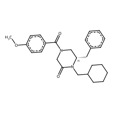 COc1ccc(C(=O)N2CC(=O)N(CC3CCCCC3)[C@@H](Cc3ccccc3)C2)cc1